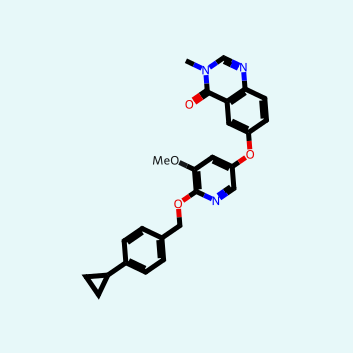 COc1cc(Oc2ccc3ncn(C)c(=O)c3c2)cnc1OCc1ccc(C2CC2)cc1